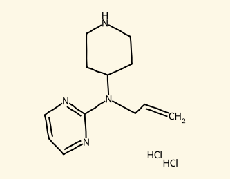 C=CCN(c1ncccn1)C1CCNCC1.Cl.Cl